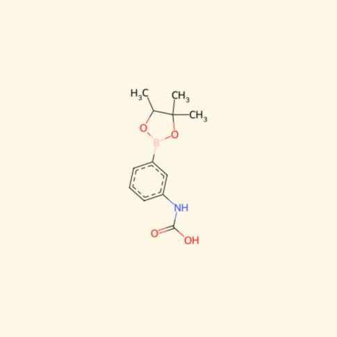 CC1OB(c2cccc(NC(=O)O)c2)OC1(C)C